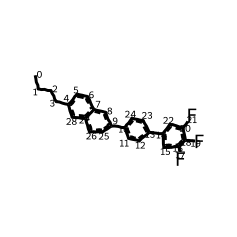 CCCCc1ccc2cc(-c3ccc(-c4cc(F)c(F)c(F)c4)cc3)ccc2c1